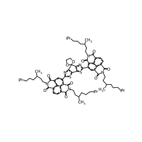 CC(C)CCCC(C)CCN1C(=O)c2ccc3c4c(c(-c5nc6c(s5)-c5sc(-c7cc8c9c(ccc%10c9c7C(=O)N(CCC(C)CCCC(C)C)C%10=O)C(=O)N(CCC(C)CCCC(C)C)C8=O)nc5C65OCCO5)cc(c24)C1=O)C(=O)N(CCC(C)CCCC(C)C)C3=O